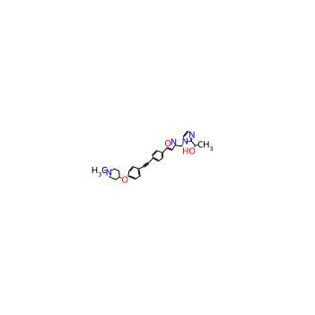 CC(O)c1nccn1Cc1cc(-c2ccc(C#Cc3ccc(OC4CCN(C)CC4)cc3)cc2)on1